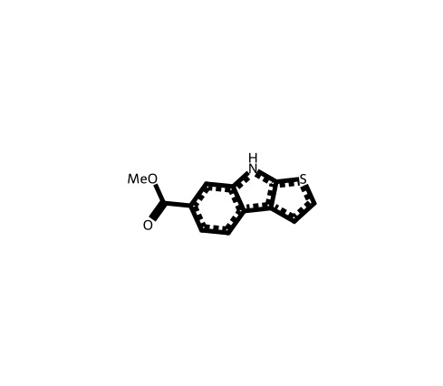 COC(=O)c1ccc2c(c1)[nH]c1sccc12